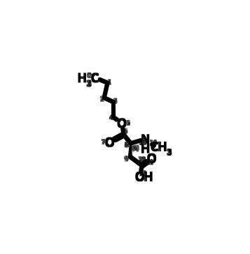 CCCCCOC(=O)[C@H](CC(=O)O)NC